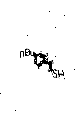 CCCCc1ccc(CCS)cc1